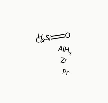 O=[SiH2].[AlH3].[Ce].[Pr].[Zr]